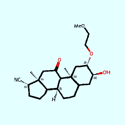 COCCO[C@H]1C[C@@]2(C)C(CC[C@@H]3C2C(=O)C[C@@]2(C)C3CC[C@@H]2C#N)C[C@@H]1O